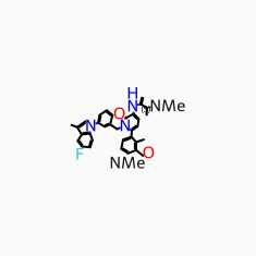 C=C(Nc1ccc(-c2cccc(C(=O)NC)c2C)n(Cc2cccc(-n3cc(C)c4cc(F)ccc43)c2)c1=O)[C@H](C)NC